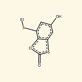 CCSc1cc(O)cc2sc(=O)oc12